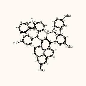 CC(C)(C)c1ccc(N2c3c4c(c5ccc6cc(C(C)(C)C)cc7ccc3c5c67)-c3cc(C(C)(C)C)cc5c6cc(C(C)(C)C)ccc6n(c35)B4c3ccc4oc5ccccc5c4c32)cc1